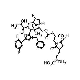 C[C@H](O)C(=O)N(C[C@@H]1CNC[C@@H]1F)[C@@H](c1nc(-c2cc(F)ccc2F)cn1Cc1ccccc1)C(C)(C)CCOC(=O)N[C@@H](CN1C(=O)CC(SC[C@@H](N)C(=O)O)C1=O)C(=O)O